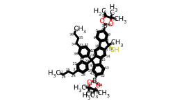 C=C1OB(c2ccc3c(c2)C(C)(S)c2cc4c(cc2-3)C(c2ccc(CCCC)cc2)(c2ccc(CCCC)cc2)c2cc(B3OC(C)(C)C(C)(C)O3)ccc2-4)OC1(C)C